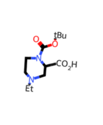 CCN1CCN(C(=O)OC(C)(C)C)C(C(=O)O)C1